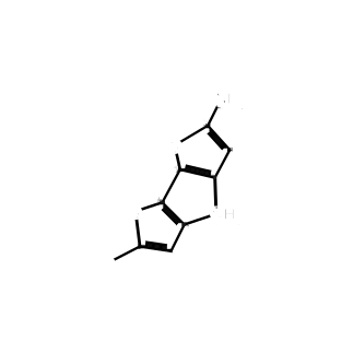 Cc1cc2c(s1)-c1sc(N)cc1[SiH2]2